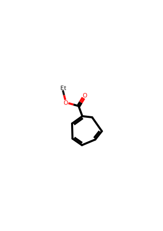 CCOC(=O)C1=CC=CC=CC1